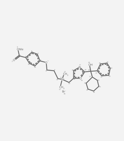 COC(=O)c1ccc(OCCC[N+](C)(C)Cc2cnc(C(O)(c3ccccc3)C3CCCCC3)o2)cc1.[Br-]